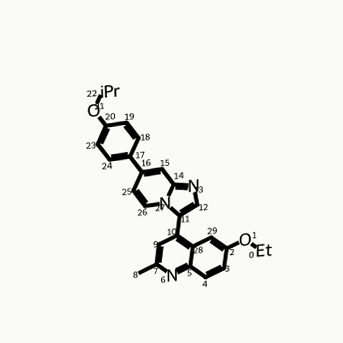 CCOc1ccc2nc(C)cc(-c3cnc4cc(-c5ccc(OC(C)C)cc5)ccn34)c2c1